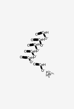 [Bi+3].[O]=[GeH][O-].[O]=[GeH][O-].[O]=[GeH][O-].[O]=[GeH][O-].[O]=[GeH][O-].[O]=[GeH][O-].[PH6+3]